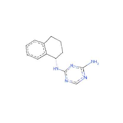 Nc1ncnc(N[C@H]2CCCc3ccccc32)n1